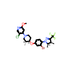 [CH2][C@@H]1[C@H](C)C(C(F)(F)F)=NN1c1ccc(O[C@@H]2CCN(c3cc(OC)ncc3Cl)C[C@H]2C)cc1Br